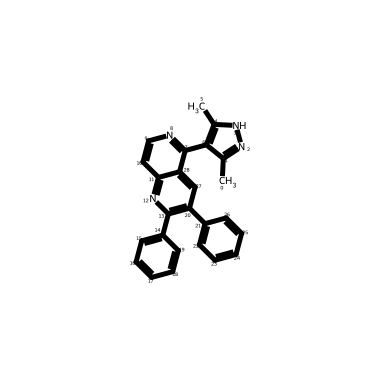 Cc1n[nH]c(C)c1-c1nccc2nc(-c3cc[c]cc3)c(-c3ccccc3)cc12